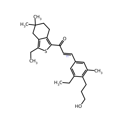 CCc1cc(/C=C/C(=O)c2sc(CC)c3c2CCC(C)(C)C3)cc(C)c1CCCO